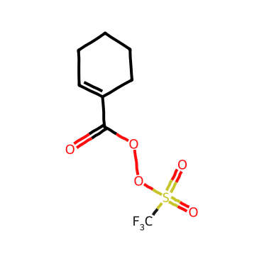 O=C(OOS(=O)(=O)C(F)(F)F)C1=CCCCC1